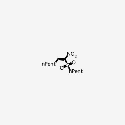 CCCCCC=C([N+](=O)[O-])S(=O)(=O)CCCCC